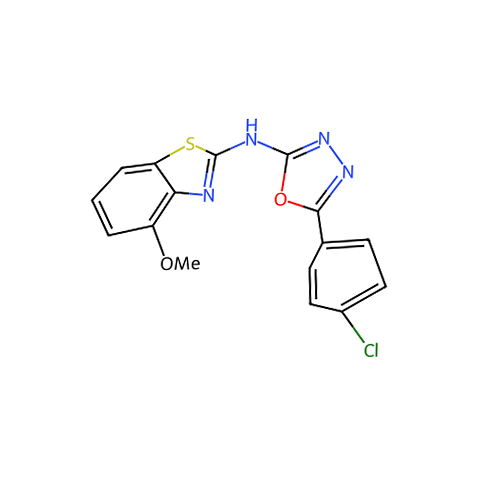 COc1cccc2sc(Nc3nnc(-c4ccc(Cl)cc4)o3)nc12